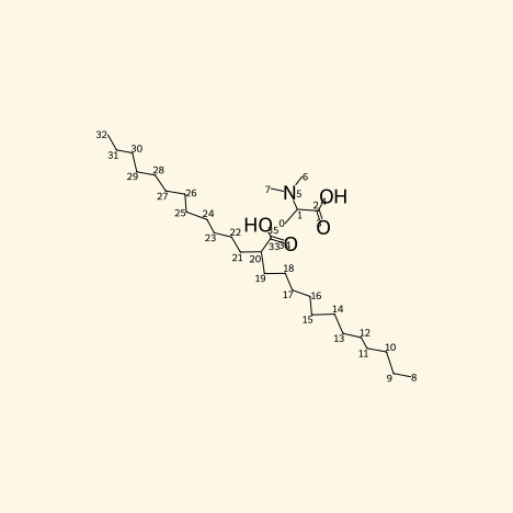 CC(C(=O)O)N(C)C.CCCCCCCCCCCCC(CCCCCCCCCCCC)C(=O)O